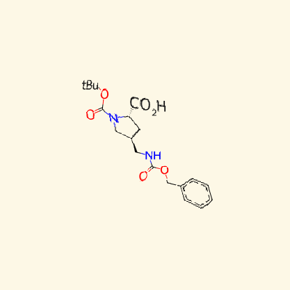 CC(C)(C)OC(=O)N1C[C@H](CNC(=O)OCc2ccccc2)C[C@H]1C(=O)O